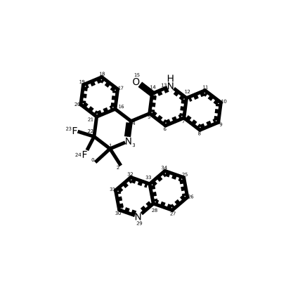 CC1(C)N=C(c2cc3ccccc3[nH]c2=O)c2ccccc2C1(F)F.c1ccc2ncccc2c1